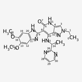 CCn1cc2[nH]c(=O)c(-c3nc4cc(OC)c(OC)cc4[nH]3)c(NC(C)c3ncccn3)c2n1